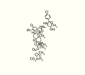 CC(C)C1=C2[C@H]3CC[C@@H]4[C@@]5(C)CC[C@H](OC(=O)[C@H]6C[C@@H](C(=O)O)C6(C)C)C(C)(C)[C@@H]5CC[C@@]4(C)[C@]3(C)CC[C@@]2(CC(=O)NC[C@H](NC(=O)c2ccc(Cl)cc2)C(C)O)CC1=O